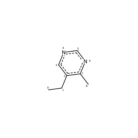 CCc1cn[c]nc1C